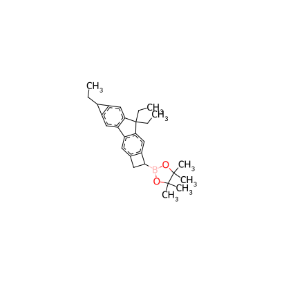 CCC1c2cc3c(cc21)C(CC)(CC)c1cc2c(cc1-3)CC2B1OC(C)(C)C(C)(C)O1